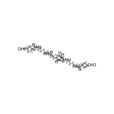 Cc1[nH]c(NC(=O)NCCCCCCNC(=O)Oc2ccc(C=O)cc2)nc(=O)c1CCOC(=O)NCCCCCCNC(=O)Oc1ccc(C=O)cc1